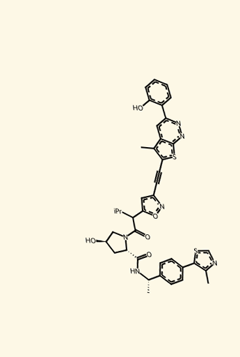 Cc1ncsc1-c1ccc([C@H](C)NC(=O)[C@@H]2C[C@@H](O)CN2C(=O)C(c2cc(C#Cc3sc4nnc(-c5ccccc5O)cc4c3C)no2)C(C)C)cc1